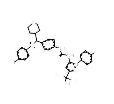 Cc1ccc(-n2nc(C(C)(C)C)cc2NC(=O)Nc2ccc(C(C3CCNCC3)S(=O)(=O)c3ccc(Cl)cc3)cc2)cc1